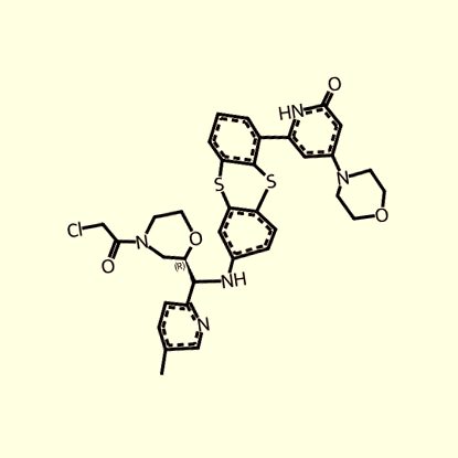 Cc1ccc(C(Nc2ccc3c(c2)Sc2cccc(-c4cc(N5CCOCC5)cc(=O)[nH]4)c2S3)[C@H]2CN(C(=O)CCl)CCO2)nc1